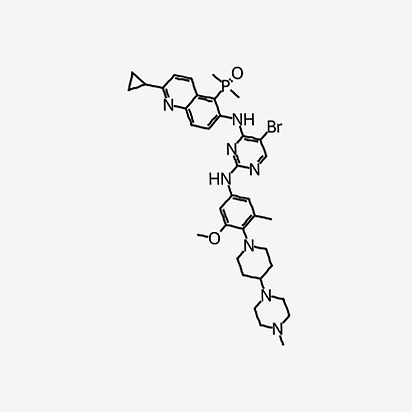 COc1cc(Nc2ncc(Br)c(Nc3ccc4nc(C5CC5)ccc4c3P(C)(C)=O)n2)cc(C)c1N1CCC(N2CCN(C)CC2)CC1